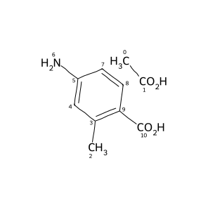 CC(=O)O.Cc1cc(N)ccc1C(=O)O